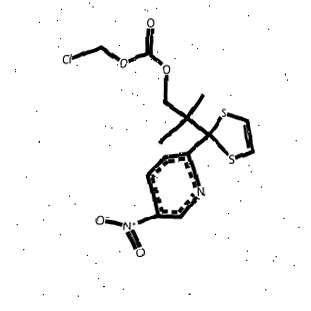 CC(C)(COC(=O)OCCl)C1(c2ccc([N+](=O)[O-])cn2)SC=CS1